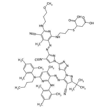 [C-]#[N+]c1cn(-c2nnc(-n3nc(C(C)(C)C)c(C#N)c3N=Nc3c(C)cc(N(CCCC)c4c(C)cc(C)cc4C)nc3Nc3c(C)cc(C)cc3C)s2)nc1N=Nc1c(NCCCSC(CC(=O)O)C(=O)O)nc(NCCCOC)c(C#N)c1C